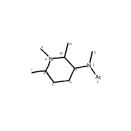 CC(=O)N(C)C1CCC(C)N(C)C1C